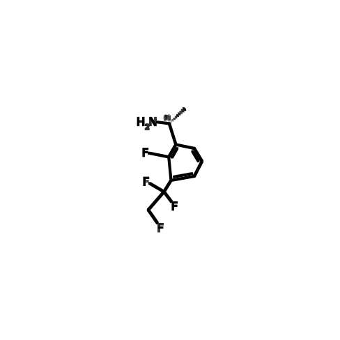 C[C@@H](N)c1cccc(C(F)(F)CF)c1F